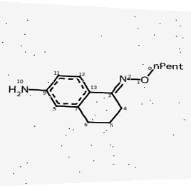 CCCCCO/N=C1\CCCc2cc(N)ccc21